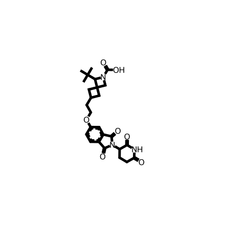 CC(C)(C)C1N(C(=O)O)CC12CC(CCOc1ccc3c(c1)C(=O)N(C1CCC(=O)NC1=O)C3=O)C2